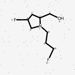 OCC1CC(F)CN1CCCF